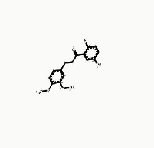 COc1ccc(CCC(=O)c2cc(O)ccc2F)cc1OC